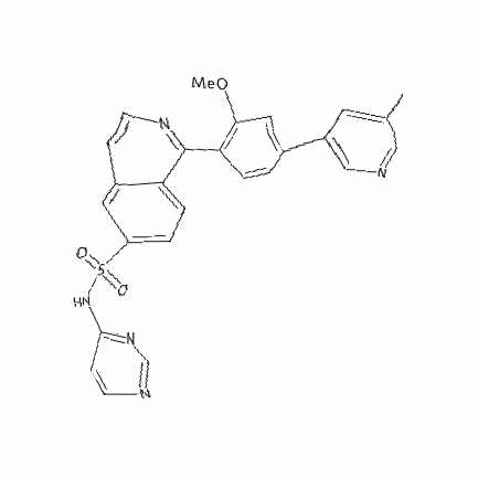 COc1cc(-c2cncc(C)c2)ccc1-c1nccc2cc(S(=O)(=O)Nc3ccncn3)ccc12